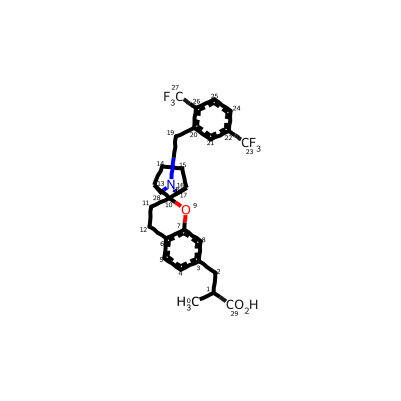 CC(Cc1ccc2c(c1)OC1(CC2)C2CCC1CN(Cc1cc(C(F)(F)F)ccc1C(F)(F)F)C2)C(=O)O